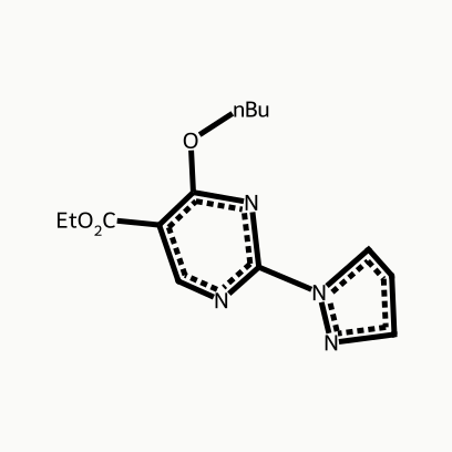 CCCCOc1nc(-n2cccn2)ncc1C(=O)OCC